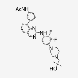 CC(=O)Nc1cccc(-c2cccc3cnc(Nc4ccc(N5CCN(CC(C)(C)O)CC5)c(F)c4F)nc23)c1